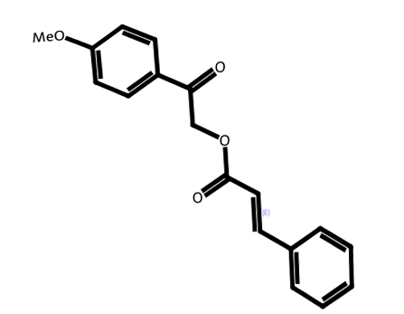 COc1ccc(C(=O)COC(=O)/C=C/c2ccccc2)cc1